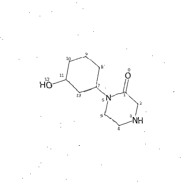 O=C1CNCCN1C1CCCC(O)C1